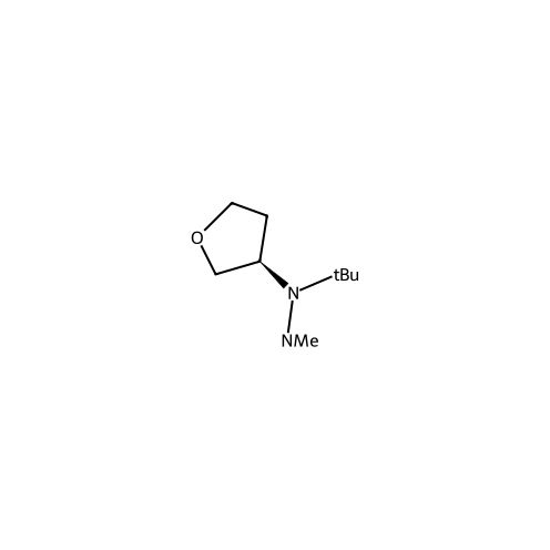 CNN([C@@H]1CCOC1)C(C)(C)C